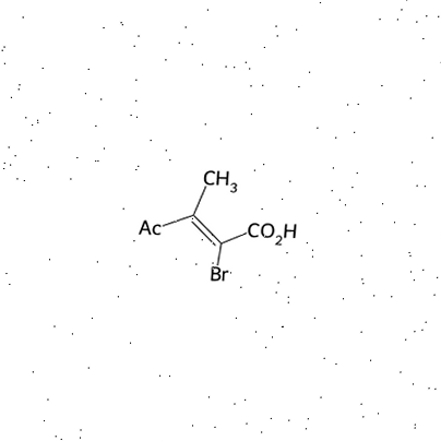 CC(=O)/C(C)=C(\Br)C(=O)O